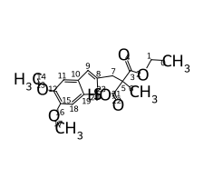 CCOC(=O)C(C)(Cc1cc2cc(OC)c(OC)cc2s1)C(=O)O